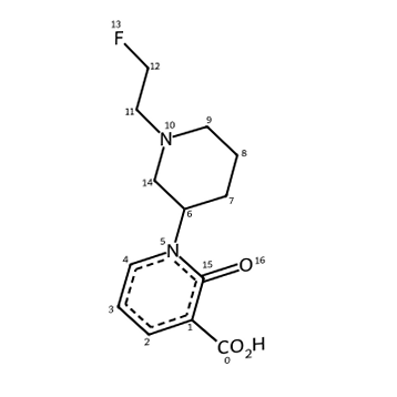 O=C(O)c1cccn(C2CCCN(CCF)C2)c1=O